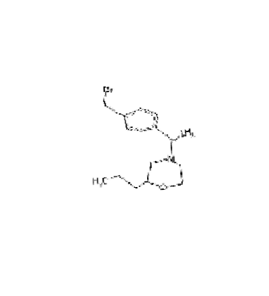 CCCC1CN(C(C)c2ccc(CBr)cc2)CCO1